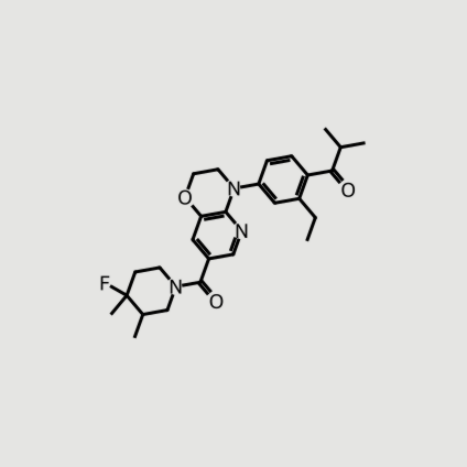 CCc1cc(N2CCOc3cc(C(=O)N4CCC(C)(F)C(C)C4)cnc32)ccc1C(=O)C(C)C